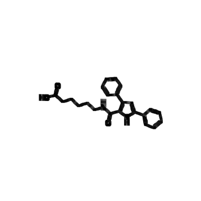 O=C(O)CCCCCNC(=O)c1[nH]c(-c2ccccc2)cc1-c1ccccc1